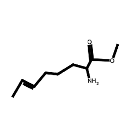 CC=CCCCC(N)C(=O)OC